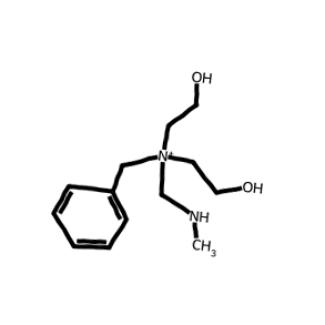 CNC[N+](CCO)(CCO)Cc1ccccc1